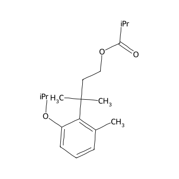 Cc1cccc(OC(C)C)c1C(C)(C)CCOC(=O)C(C)C